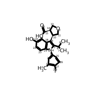 Cc1cc(-n2c(C(C)C)c([C@@H]3COC[C@@H]3C(=O)O)c3cc(O)ccc32)ccc1F